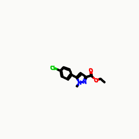 CCOC(=O)c1cc(-c2ccc(Cl)cc2)n(C)n1